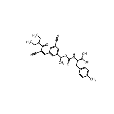 CCN(CC)C(=O)C(C#N)=Cc1cc(C#N)cc(C(C)OC(=O)NC(Cc2ccc(C)cc2)B(O)O)c1